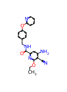 CCOc1nc(C(=O)NCc2ccc(Oc3ccccn3)cc2)cc(N)c1C#N